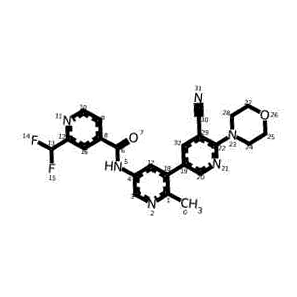 Cc1ncc(NC(=O)c2ccnc(C(F)F)c2)cc1-c1cnc(N2CCOCC2)c(C#N)c1